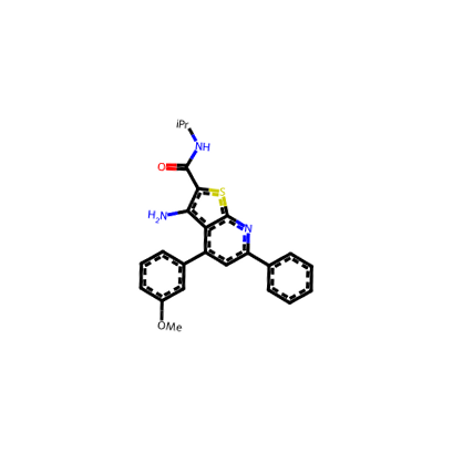 COc1cccc(-c2cc(-c3ccccc3)nc3sc(C(=O)NC(C)C)c(N)c23)c1